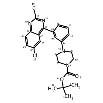 CC(C)(C)OC(=O)N1CCN(c2cccc(-c3nc(Cl)nc4ccc(Cl)cc34)c2)CC1